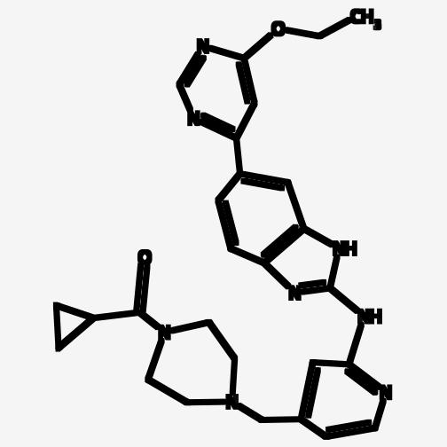 CCOc1cc(-c2ccc3nc(Nc4cc(CN5CCN(C(=O)C6CC6)CC5)ccn4)[nH]c3c2)ncn1